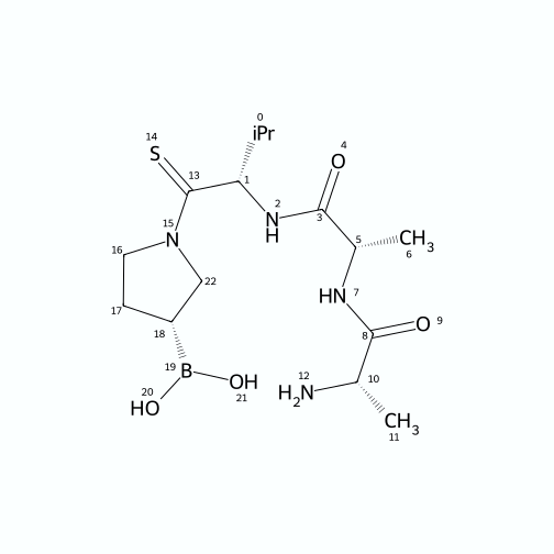 CC(C)[C@H](NC(=O)[C@H](C)NC(=O)[C@H](C)N)C(=S)N1CC[C@@H](B(O)O)C1